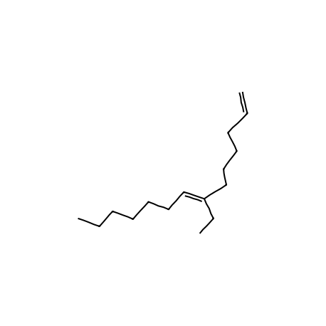 C=CCCCCC(=CCCCCCC)CC